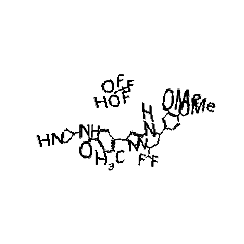 COc1ccc(C2CC(C(F)F)n3nc(-c4ccc(C(=O)NC5CNC5)cc4C)cc3N2)cc1OC.O=C(O)C(F)(F)F